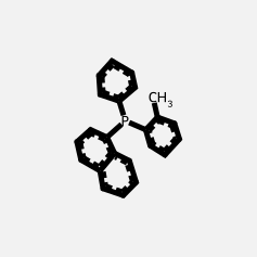 Cc1ccccc1P(c1ccccc1)c1cccc2ccccc12